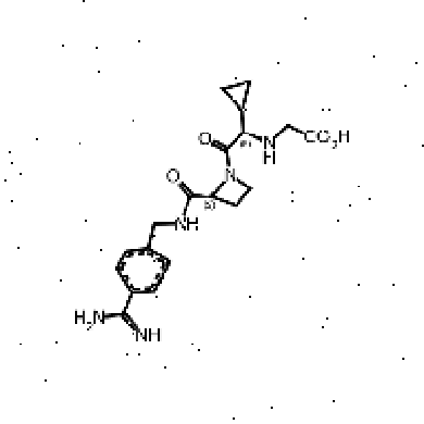 N=C(N)c1ccc(CNC(=O)[C@@H]2CCN2C(=O)[C@H](NCC(=O)O)C2CC2)cc1